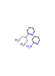 CCC(CC)c1ccccn1.Nc1ccccn1